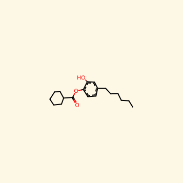 CCCCCCc1ccc(OC(=O)C2CCCCC2)c(O)c1